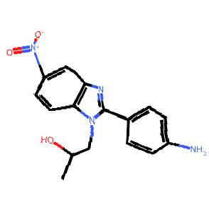 CC(O)Cn1c(-c2ccc(N)cc2)nc2cc([N+](=O)[O-])ccc21